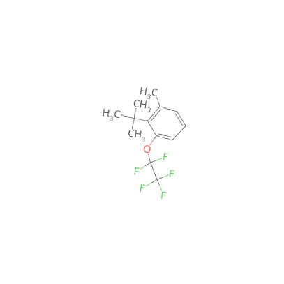 Cc1cccc(OC(F)(F)C(F)(F)F)c1C(C)(C)C